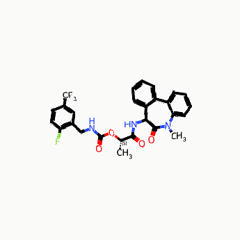 C[C@H](OC(=O)NCc1cc(C(F)(F)F)ccc1F)C(=O)NC1C(=O)N(C)c2ccccc2-c2ccccc21